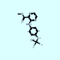 COC(=O)c1nccnc1Nc1ccc(OC(F)(F)Cl)cc1